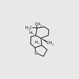 CC1(C)CCC[C@]2(C)[C@H]3CCOC3CC[C@@H]12